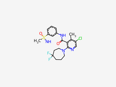 Cc1c(Cl)cnc(N2CCCC(F)(F)CC2)c1C(=O)Nc1cccc(S(C)(=N)=O)c1